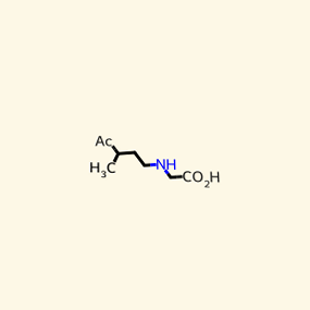 CC(=O)C(C)CCNCC(=O)O